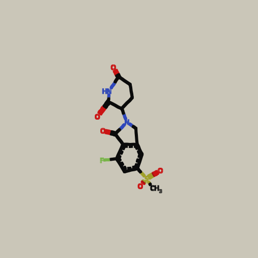 CS(=O)(=O)c1cc(F)c2c(c1)CN(C1CCC(=O)NC1=O)C2=O